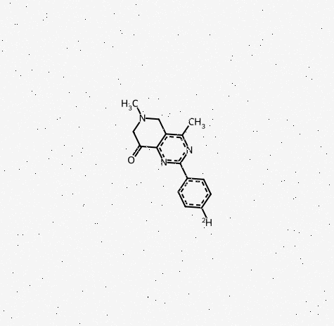 [2H]c1ccc(-c2nc(C)c3c(n2)C(=O)CN(C)C3)cc1